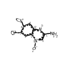 Nc1c[n+]([O-])c2cc(Cl)c(Cl)cc2n1